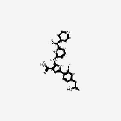 CC(O)Cc1ccc(-c2cc(C(N)=O)c(Nc3cccc(C(O)C4CCOCC4)n3)s2)c(F)c1